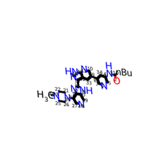 CCCCC(=O)Nc1cncc(-c2cnc3[nH]nc(-c4nc5c(N6CCN(C)CC6)cncc5[nH]4)c3c2)c1